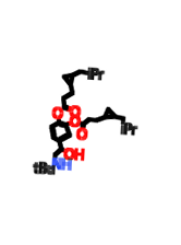 CC(C)CC1CC1CCC(=O)Oc1ccc(C(O)CNC(C)(C)C)cc1OC(=O)CCC1CC1CC(C)C